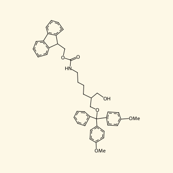 COc1ccc(C(OCC(CO)CCCCNC(=O)OCC2c3ccccc3-c3ccccc32)(c2ccccc2)c2ccc(OC)cc2)cc1